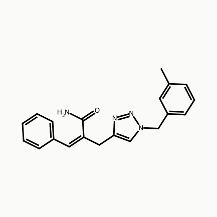 Cc1cccc(Cn2cc(CC(=Cc3ccccc3)C(N)=O)nn2)c1